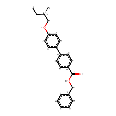 CC[C@H](C)COc1ccc(-c2ccc(C(=O)OCc3ccccc3)cc2)cc1